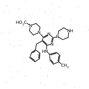 Cc1ccc(Nc2nc(N3CCNCC3)nc(N3CCN(C(=O)O)CC3)c2Cc2ccccc2)cc1